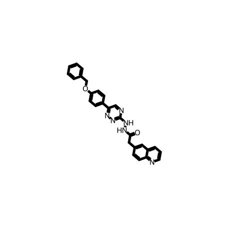 O=C(Cc1ccc2ncccc2c1)NNc1ncc(-c2ccc(OCc3ccccc3)cc2)nn1